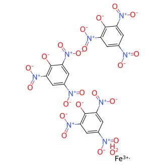 O.O=[N+]([O-])c1cc([N+](=O)[O-])c([O-])c([N+](=O)[O-])c1.O=[N+]([O-])c1cc([N+](=O)[O-])c([O-])c([N+](=O)[O-])c1.O=[N+]([O-])c1cc([N+](=O)[O-])c([O-])c([N+](=O)[O-])c1.[Fe+3]